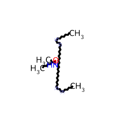 CCCCC/C=C\C/C=C\CCCCCCCCCC(CCCCCCCC/C=C\C/C=C\CCCCCCC)NC(=O)C(CC)CCCCC